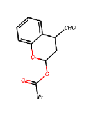 CC(C)C(=O)OC1CC(C=O)c2ccccc2O1